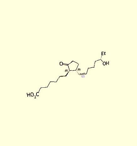 CCC(O)CCC/C=C\[C@H]1CCC(=O)[C@@H]1CCCCCCC(=O)O